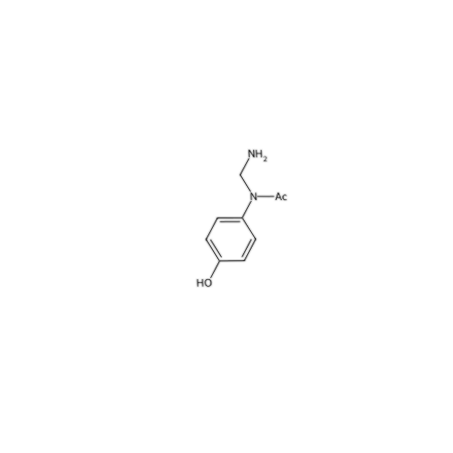 CC(=O)N(CN)c1ccc(O)cc1